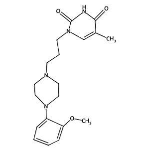 COc1ccccc1N1CCN(CCCn2cc(C)c(=O)[nH]c2=O)CC1